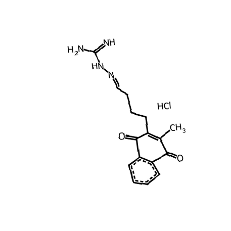 CC1=C(CCCC=NNC(=N)N)C(=O)c2ccccc2C1=O.Cl